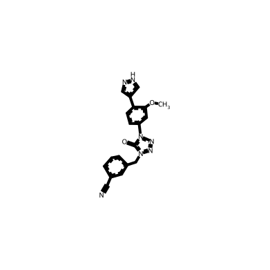 COc1cc(-n2nnn(Cc3cccc(C#N)c3)c2=O)ccc1-c1cn[nH]c1